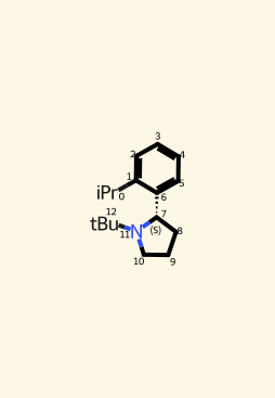 CC(C)c1ccccc1[C@@H]1CCCN1C(C)(C)C